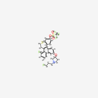 Cc1ccc(C2=C(c3ccc(OC4CCN(CCCF)C4)cc3)c3ccc(OS(=O)(=O)C(F)(F)F)cc3SCC2)c(F)c1